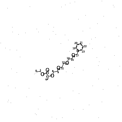 CCOC(=O)[C@H](C)OCCOCCOCCOCc1ccccc1